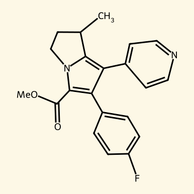 COC(=O)c1c(-c2ccc(F)cc2)c(-c2ccncc2)c2n1CCC2C